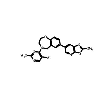 CC(C)c1cnc(N)nc1N1CCOc2ccc(-c3cnc4sc(N)nc4c3)cc2C1